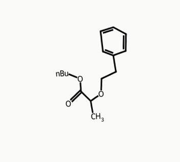 CCCCOC(=O)C(C)OCCc1ccccc1